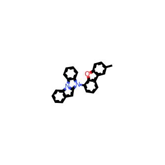 Cc1ccc2oc3c(-n4c5ccccc5n5c6ccccc6cc45)cccc3c2c1